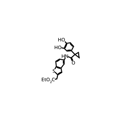 CCOC(=O)Cc1cc2cc(NC(=O)C3(c4ccc(O)c(O)c4)CC3)ccc2s1